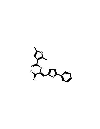 Cc1cc(C(=O)NC(=Cc2ccc(-c3ccccc3)o2)C(=O)O)c(C)o1